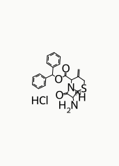 C=C1CS[C@@H]2C(N)C(=O)N2C1C(=O)OC(c1ccccc1)c1ccccc1.Cl